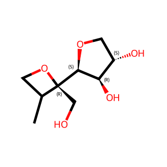 CC1CO[C@]1(CO)[C@H]1OC[C@H](O)[C@H]1O